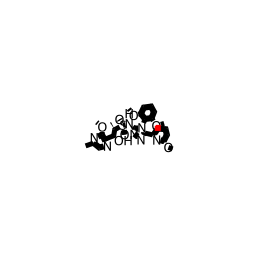 COc1cccc(-c2nnc(NS(=O)(=O)[C@@H](C)[C@H](O)c3ncc(C)nc3OC)n2-c2c(OC)cccc2OC)n1